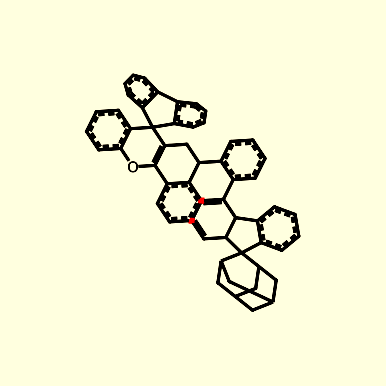 C1=CC2C(C(c3ccccc3C3CC4=C(Oc5ccccc5C45c4ccccc4-c4ccccc45)c4ccccc43)=C1)c1ccccc1C21C2CC3CC(C2)CC1C3